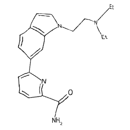 CCN(CC)CCn1ccc2ccc(-c3cccc(C(N)=O)n3)cc21